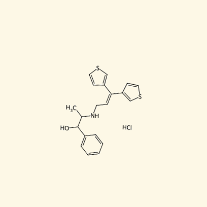 CC(NCC=C(c1ccsc1)c1ccsc1)C(O)c1ccccc1.Cl